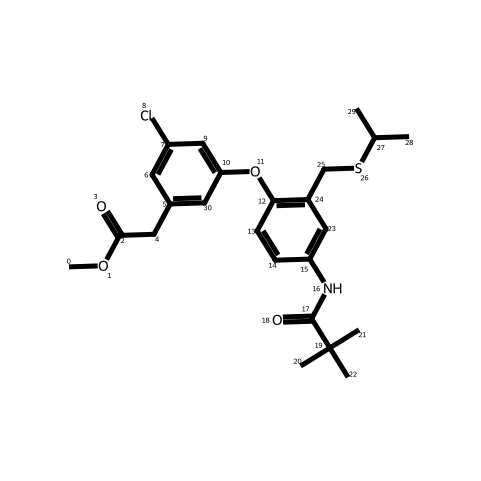 COC(=O)Cc1cc(Cl)cc(Oc2ccc(NC(=O)C(C)(C)C)cc2CSC(C)C)c1